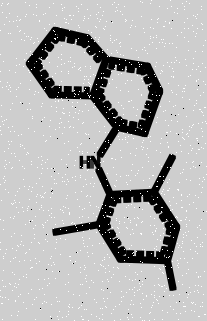 Cc1cc(C)c(Nc2cccc3ccccc23)c(C)c1